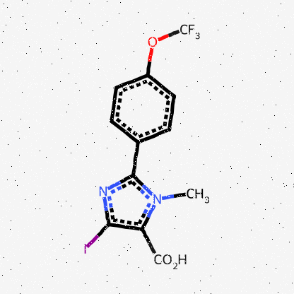 Cn1c(-c2ccc(OC(F)(F)F)cc2)nc(I)c1C(=O)O